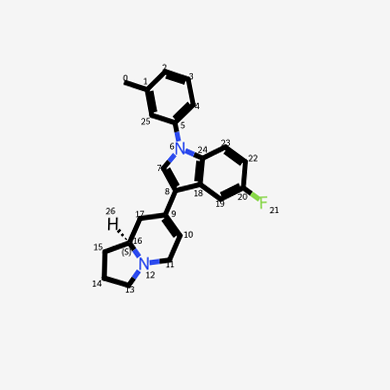 Cc1cccc(-n2cc(C3=CCN4CCC[C@H]4C3)c3cc(F)ccc32)c1